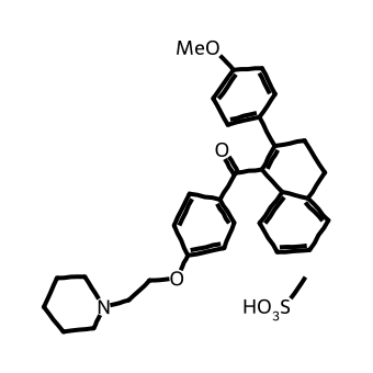 COc1ccc(C2=C(C(=O)c3ccc(OCCN4CCCCC4)cc3)c3ccccc3CC2)cc1.CS(=O)(=O)O